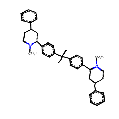 CC(C)(c1ccc(C2CC(c3ccccc3)CCN2C(=O)O)cc1)c1ccc(C2CC(c3ccccc3)CCN2C(=O)O)cc1